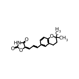 CC1(C)CCc2cc(C=CC=C3OC(=O)NC3=O)ccc2O1